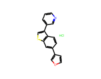 Cl.c1cncc(-c2csc3cc(-c4ccoc4)ccc23)c1